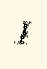 CC(C)(O)CCc1ccc(Oc2ccc(F)c3c2CC[C@H]3Oc2ccc3c(c2)OCC3CC(=O)O)c(C#N)c1